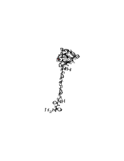 NC(=O)CCC(=O)NCCCOCCOCCOCCCNC(=O)CN1CCN2CCN3CCN(CC1)CC(=O)ON(COC(=O)C2)OC(=O)C3